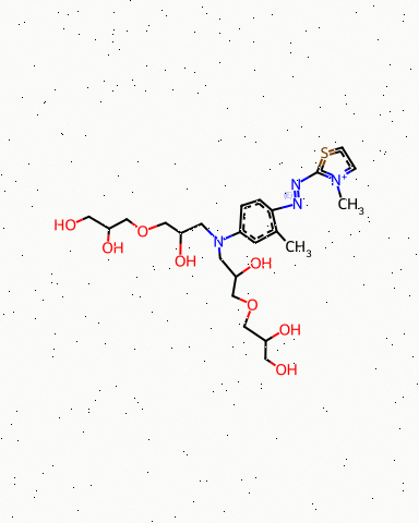 Cc1cc(N(CC(O)COCC(O)CO)CC(O)COCC(O)CO)ccc1/N=N/c1scc[n+]1C